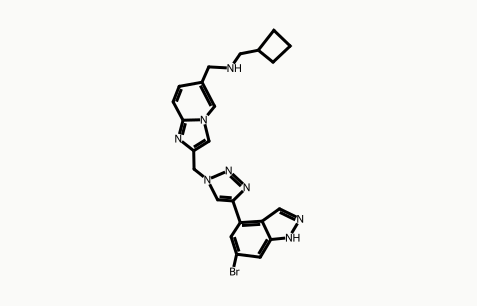 Brc1cc(-c2cn(Cc3cn4cc(CNCC5CCC5)ccc4n3)nn2)c2cn[nH]c2c1